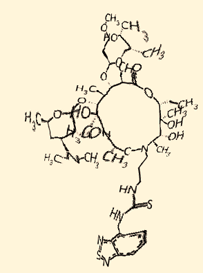 CC[C@H]1OC(=O)[C@H](C)[C@@H](O[C@@H](CCOC)O[C@@H](C)[C@@H](C)O)[C@H](C)[C@@H](O[C@@H]2O[C@H](C)C[C@H](N(C)C)[C@H]2O)[C@](C)(O)C[C@@H](C)CN(CCCNC(=S)Nc2cccc3nsnc23)[C@H](C)[C@@H](O)[C@]1(C)O